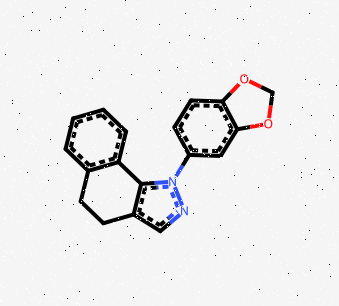 c1ccc2c(c1)CCc1cnn(-c3ccc4c(c3)OCO4)c1-2